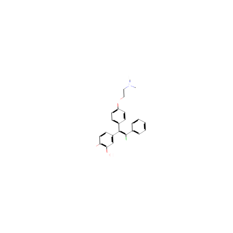 CCN(CC)CCOc1ccc(/C(=C(/Cl)c2ccccc2)c2ccc(O)c(O)c2)cc1